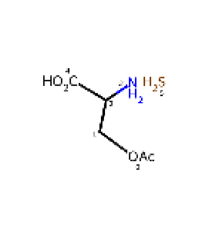 CC(=O)OCC(N)C(=O)O.S